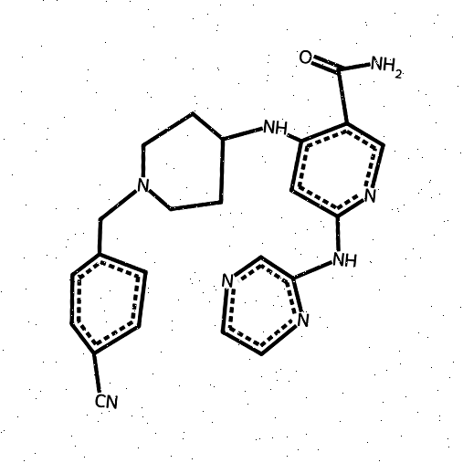 N#Cc1ccc(CN2CCC(Nc3cc(Nc4cnccn4)ncc3C(N)=O)CC2)cc1